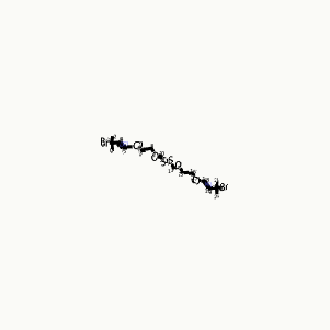 CC(C)(Br)/C=C/OCCOCSSCOCCO/C=C/C(C)(C)Br